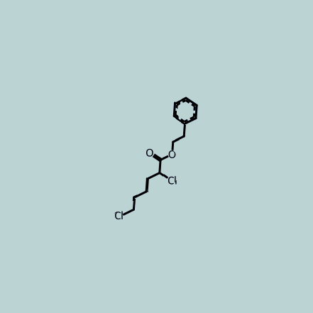 O=C(OCCc1ccccc1)C(Cl)CCCCCl